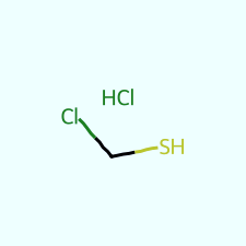 Cl.SCCl